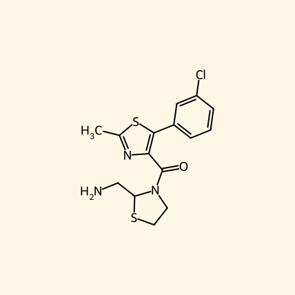 Cc1nc(C(=O)N2CCSC2CN)c(-c2cccc(Cl)c2)s1